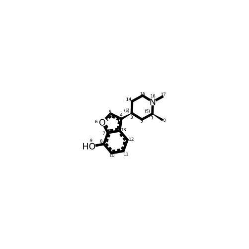 C[C@H]1C[C@@H](c2coc3c(O)cccc23)CCN1C